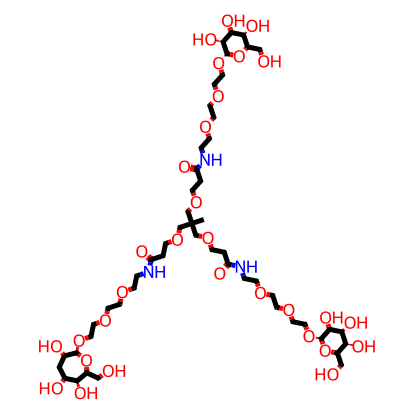 CC(COCCC(=O)NCCOCCOCCO[C@H]1OC(CO)[C@@H](O)C(O)CC1O)(COCCC(=O)NCCOCCOCCO[C@H]1OC(CO)[C@@H](O)[C@H](O)C1O)COCCC(=O)NCCOCCOCCO[C@H]1OC(CO)[C@@H](O)C(O)[C@H]1O